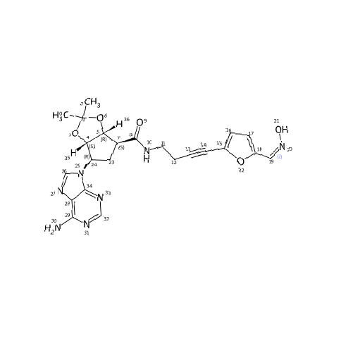 CC1(C)O[C@@H]2[C@H](O1)[C@@H](C(=O)NCCC#Cc1ccc(/C=N\O)o1)C[C@H]2n1cnc2c(N)ncnc21